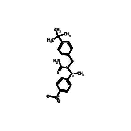 C[C@H](c1ccc([N+](=O)[O-])cc1)N(Cc1ccc(C(C)(C)C)cc1)C(N)=S